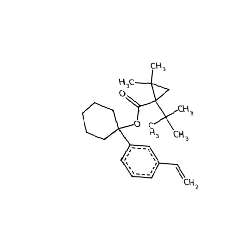 C=Cc1cccc(C2(OC(=O)C3(C(C)(C)C)CC3(C)C)CCCCC2)c1